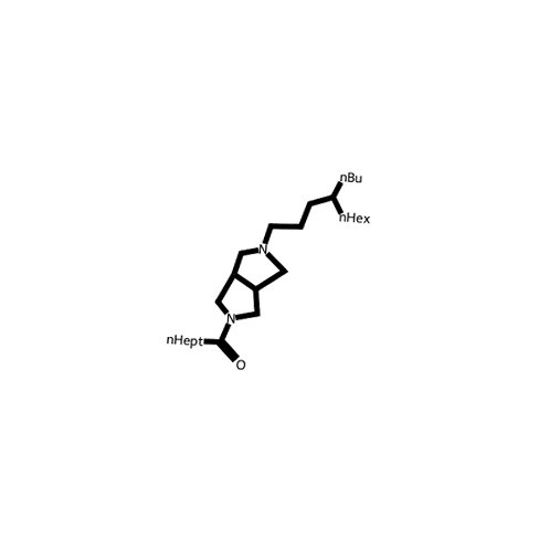 CCCCCCCC(=O)N1CC2CN(CCCC(CCCC)CCCCCC)CC2C1